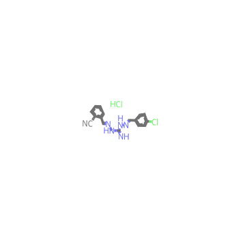 Cl.N#Cc1ccccc1C=NNC(=N)NN=Cc1ccc(Cl)cc1